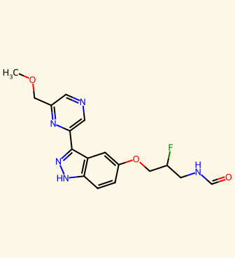 COCc1cncc(-c2n[nH]c3ccc(OCC(F)CNC=O)cc23)n1